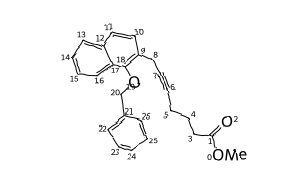 COC(=O)CCCC#CCc1ccc2ccccc2c1OCc1ccccc1